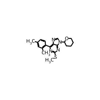 CSc1nc(-c2ccc(C)cc2C)c2ncn(C3CCCCO3)c2n1